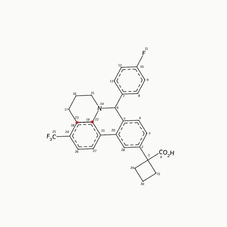 O=C(O)C1(c2ccc(C(c3ccc(F)cc3)N3CCCCC3)c(-c3ccc(C(F)(F)F)cc3)c2)CCC1